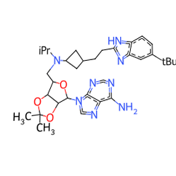 CC(C)N(CC1OC(n2cnc3c(N)ncnc32)C2OC(C)(C)OC12)C1CC(CCc2nc3cc(C(C)(C)C)ccc3[nH]2)C1